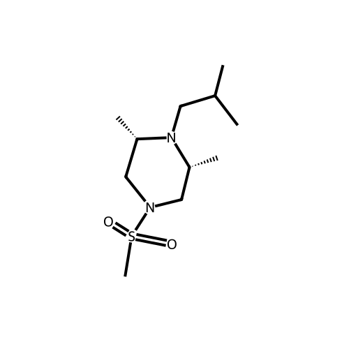 CC(C)CN1[C@H](C)CN(S(C)(=O)=O)C[C@@H]1C